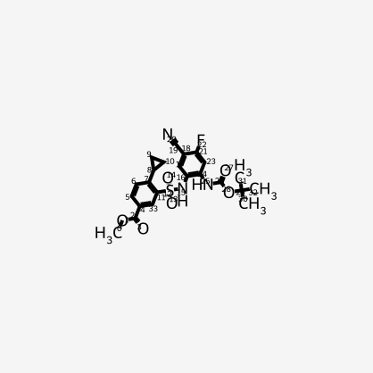 COC(=O)c1ccc(C2CC2)c(S(=O)(=O)Nc2cc(C#N)c(F)cc2NC(=O)OC(C)(C)C)c1